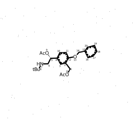 CC(=O)OCc1cc([C@H](CNC(C)(C)C)OC(C)=O)ccc1OCc1ccccc1